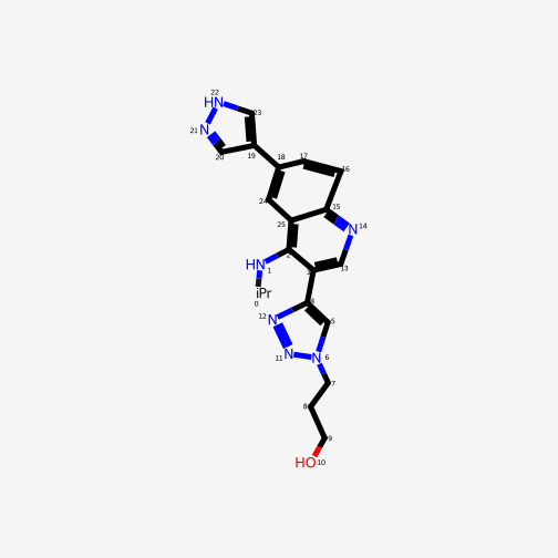 CC(C)Nc1c(-c2cn(CCCO)nn2)cnc2ccc(-c3cn[nH]c3)cc12